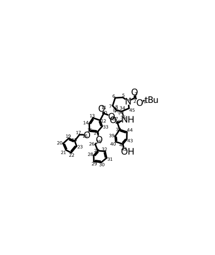 CC(C)(C)OC(=O)N1CCC[C@@H](OC(=O)c2ccc(OCc3ccccc3)c(OCc3ccccc3)c2)[C@H](NC(=O)c2ccc(O)cc2)C1